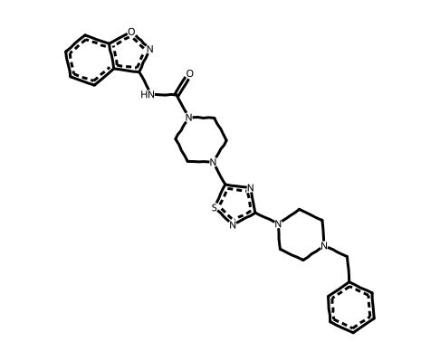 O=C(Nc1noc2ccccc12)N1CCN(c2nc(N3CCN(Cc4ccccc4)CC3)ns2)CC1